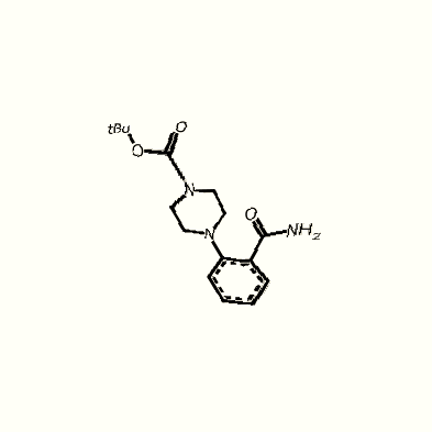 CC(C)(C)OC(=O)N1CCN(c2ccccc2C(N)=O)CC1